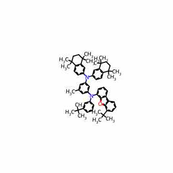 Cc1cc(N(c2ccc3c(c2)C(C)(C)CCC3(C)C)c2ccc3c(c2)C(C)(C)CCC3(C)C)cc(N(c2cccc(C(C)(C)C)c2)c2cccc3c2oc2c(C(C)(C)C)cccc23)c1